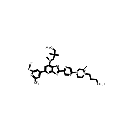 CCOc1cc(-c2cc(N(C)CC(C)(C)COC)c3[nH]c(-c4cnc(N5CCN(CCCC(=O)O)[C@H](C)C5)cn4)nc3n2)cc(C(F)(F)F)n1